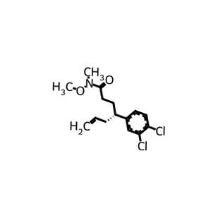 C=CC[C@H](CCC(=O)N(C)OC)c1ccc(Cl)c(Cl)c1